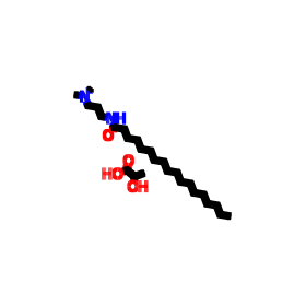 CC(O)C(=O)O.CCCCCCCCCCCCCCCCCC(=O)NCCCN(C)C